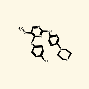 COc1cnc(Nc2ccc(N3CCOCC3)cc2)nc1Sc1ccc(N)cc1